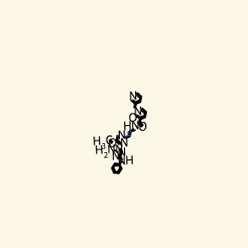 COc1cnc(/C=C/CNC(=O)c2cccn(Cc3cccnc3)c2=O)nc1-n1nc(Nc2ccccc2)nc1N